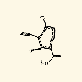 C#Cc1c(Cl)ccc(C(=O)O)c1Cl